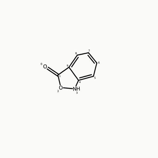 O=c1o[nH]c2ccccc12